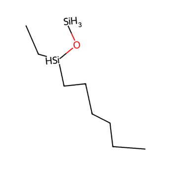 CCCCCC[SiH](CC)O[SiH3]